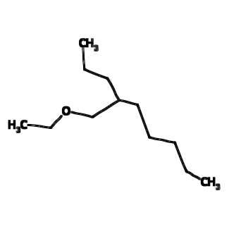 CCCCCC(CCC)COCC